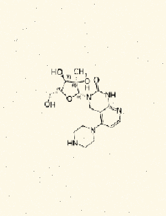 C[C@@]1(O)[C@H](O)[C@@H](CO)O[C@H]1N1Cc2c(N3CCNCC3)ccnc2NC1=O